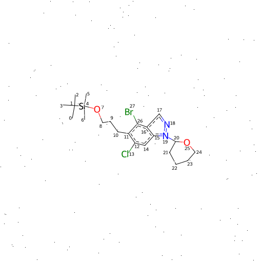 CC(C)(C)[Si](C)(C)OCCCc1c(Cl)cc2c(cnn2C2CCCCO2)c1Br